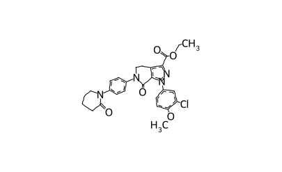 CCOC(=O)c1nn(-c2ccc(OC)c(Cl)c2)c2c1CCN(c1ccc(N3CCCCC3=O)cc1)C2=O